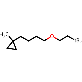 CC(C)(C)CCOCCCCC1(C)CC1